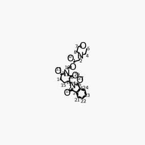 O=C(CN1CCOCC1)OCN1C(=O)CCC(N2C(=O)c3ccccc3C2=O)C1=O